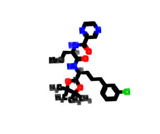 COC[C@@H](NC(=O)c1cnccn1)C(=O)N[C@@H](CCCc1cccc(Cl)c1)B1OC(C)(C)C(C)(C)O1